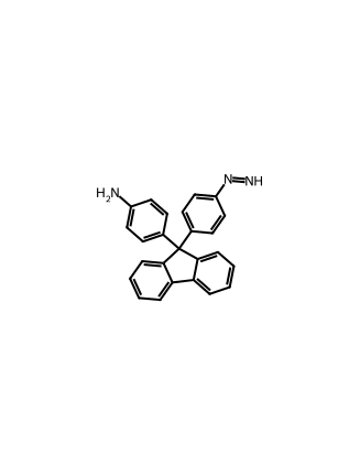 N=Nc1ccc(C2(c3ccc(N)cc3)c3ccccc3-c3ccccc32)cc1